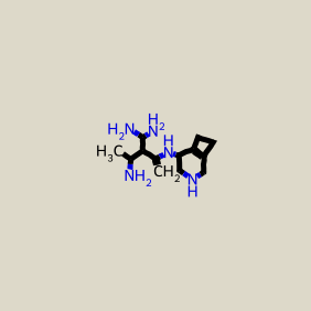 C=C(NC1CNCC2=C1CC2)C(C(C)N)C(N)N